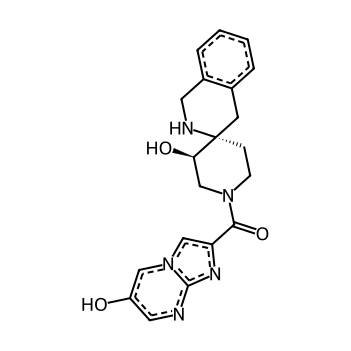 O=C(c1cn2cc(O)cnc2n1)N1CC[C@]2(Cc3ccccc3CN2)[C@H](O)C1